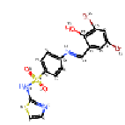 O=S(=O)(Nc1nccs1)c1ccc(/N=C/c2cc(Br)cc(Br)c2O)cc1